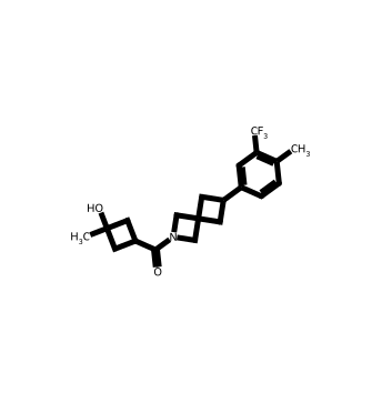 Cc1ccc(C2CC3(C2)CN(C(=O)C2CC(C)(O)C2)C3)cc1C(F)(F)F